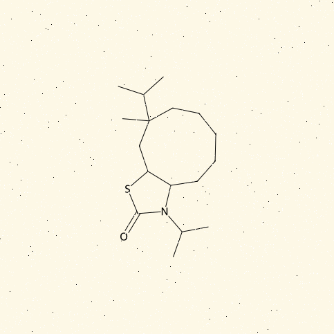 CC(C)N1C(=O)SC2CC(C)(C(C)C)CCCCCC21